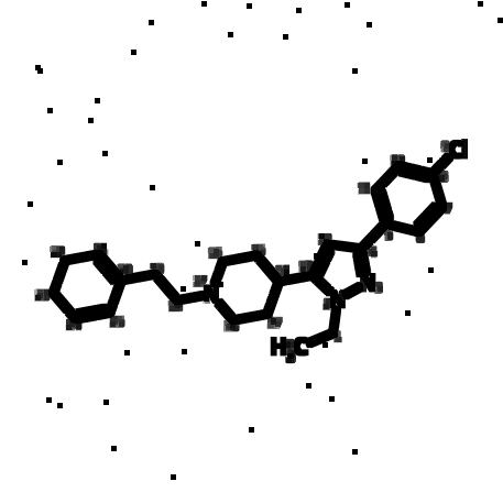 CCn1nc(-c2ccc(Cl)cc2)cc1C1CCN(CCC2=CCCC=C2)CC1